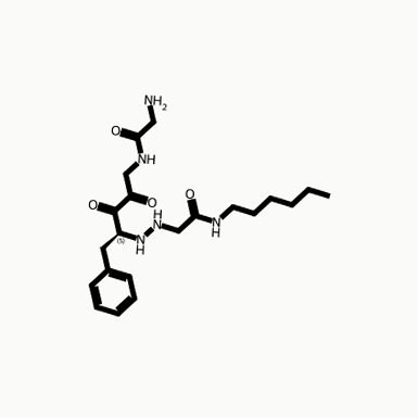 CCCCCCNC(=O)CNN[C@@H](Cc1ccccc1)C(=O)C(=O)CNC(=O)CN